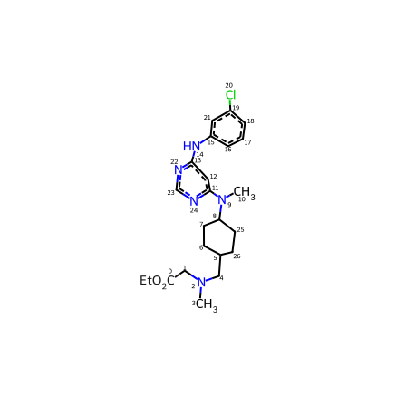 CCOC(=O)CN(C)CC1CCC(N(C)c2cc(Nc3cccc(Cl)c3)ncn2)CC1